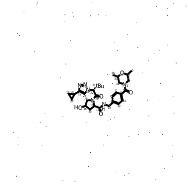 CC1CN(C(=O)c2ccc(CNC(=O)C3CC(O)CN3C(=O)[C@@H](n3cc(C4CC4)nn3)C(C)(C)C)cc2)CC(C)O1